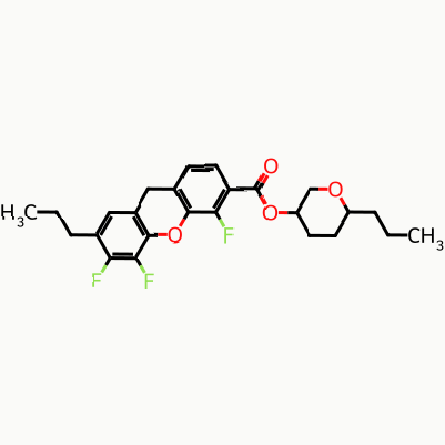 CCCc1cc2c(c(F)c1F)Oc1c(ccc(C(=O)OC3CCC(CCC)OC3)c1F)C2